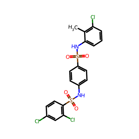 Cc1c(Cl)cccc1NS(=O)(=O)c1ccc(NS(=O)(=O)c2ccc(Cl)cc2Cl)cc1